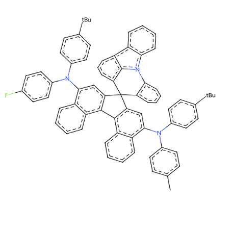 Cc1ccc(N(c2ccc(C(C)(C)C)cc2)c2cc3c(c4ccccc24)-c2c(cc(N(c4ccc(F)cc4)c4ccc(C(C)(C)C)cc4)c4ccccc24)C32c3ccccc3-n3c4ccccc4c4cccc2c43)cc1